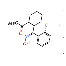 COC(=O)C1CCCCC1C(=NO)c1ccccc1F